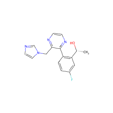 C[C@@H](O)c1cc(F)ccc1-c1nccnc1Cn1ccnc1